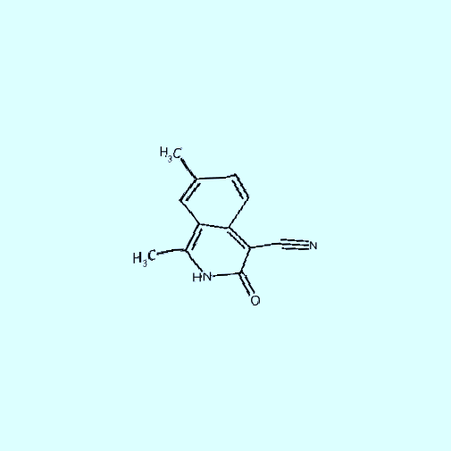 Cc1ccc2c(C#N)c(=O)[nH]c(C)c2c1